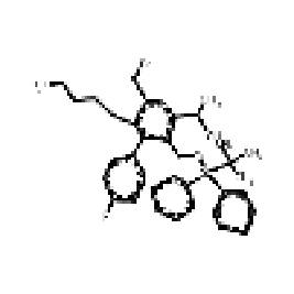 CCCCCc1c(CBr)nc(C(C)C)c(CO[Si](c2ccccc2)(c2ccccc2)C(C)(C)C)c1-c1ccc(F)cc1